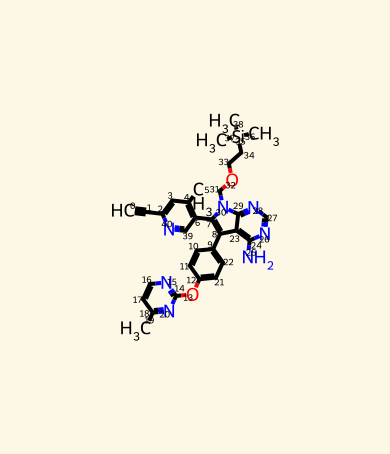 C#Cc1cc(C)c(-c2c(-c3ccc(Oc4nccc(C)n4)cc3)c3c(N)ncnc3n2COCC[Si](C)(C)C)cn1